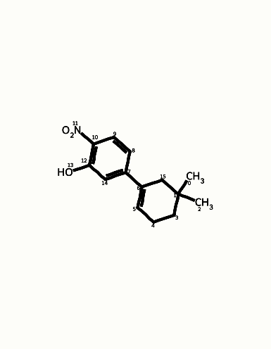 CC1(C)CCC=C(c2ccc([N+](=O)[O-])c(O)c2)C1